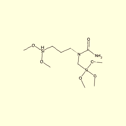 CO[SiH](CCCN(C[Si](OC)(OC)OC)C(N)=O)OC